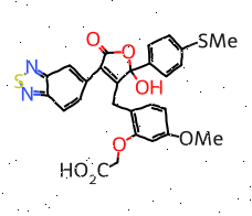 COc1ccc(CC2=C(c3ccc4nsnc4c3)C(=O)OC2(O)c2ccc(SC)cc2)c(OCC(=O)O)c1